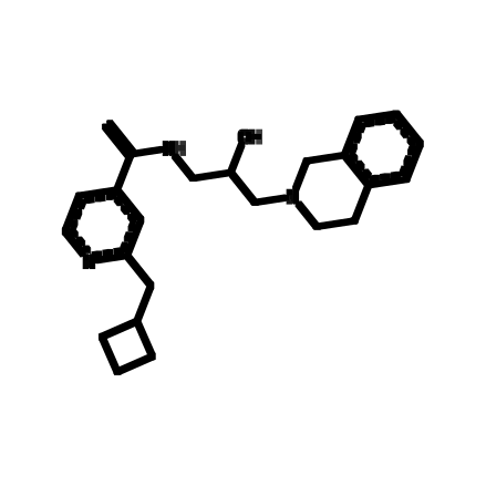 C=C(NCC(O)CN1CCc2ccccc2C1)c1ccnc(CC2CCC2)c1